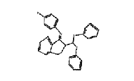 Fc1ccc(N=C2c3ccccc3CCC2C(Sc2ccccc2)Sc2ccccc2)cc1